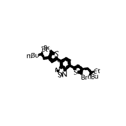 CCCCC(CC)Cc1cc(-c2ccc(-c3cc(CC(CC)CCCC)c(Br)s3)c3nsnc23)sc1Br